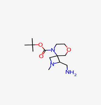 CN1CC2(COCCN2C(=O)OC(C)(C)C)C1CN